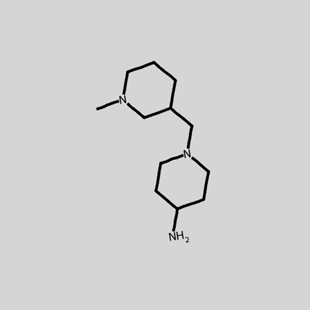 CN1CCCC(CN2CCC(N)CC2)C1